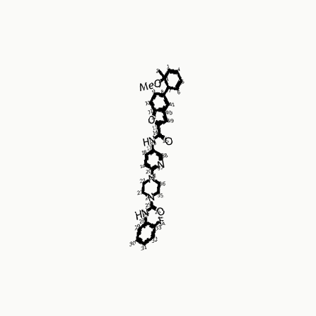 COC1(C)C=CC=CC1c1ccc2oc(C(=O)Nc3ccc(N4CCN(C(=O)Nc5ccccc5F)CC4)nc3)cc2c1